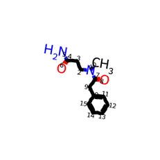 CN(CCC(N)=O)C(=O)[CH]c1ccccc1